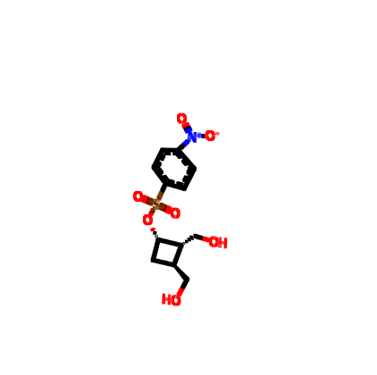 O=[N+]([O-])c1ccc(S(=O)(=O)O[C@H]2C[C@H](CO)[C@H]2CO)cc1